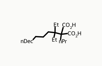 CCCCCCCCCCCCCC(CC)(CC)C(CCC)(C(=O)O)C(=O)O